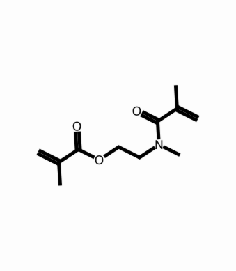 C=C(C)C(=O)OCCN(C)C(=O)C(=C)C